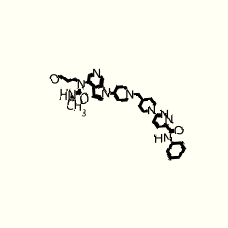 CNC(=O)N(CCC=O)c1cncc2c1ccn2C1CCN(CC2CCN(c3ccc(C(=O)NC4CCCCC4)nn3)CC2)CC1